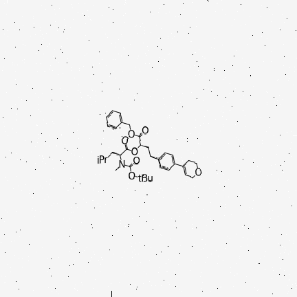 CC(C)C[C@@H](C(=O)O[C@H](CCc1ccc(C2=CCOCC2)cc1)C(=O)OCc1ccccc1)N(C)C(=O)OC(C)(C)C